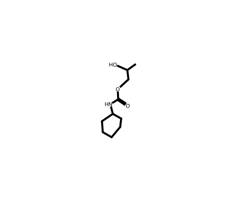 CC(O)COC(=O)NC1CCCCC1